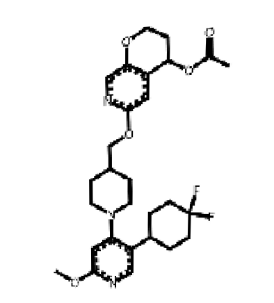 COc1cc(N2CCC(COc3cc4c(cn3)OCCC4OC(C)=O)CC2)c(C2CCC(F)(F)CC2)cn1